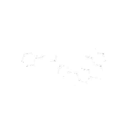 Cn1c(C(F)(F)F)cc(=O)n(-c2cc(-c3ncc(C(=O)OCc4ccccc4)s3)c(Cl)cc2F)c1=O